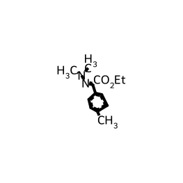 CCOC(=O)C(=NN(C)C)c1ccc(C)cc1